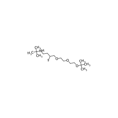 CC(C)(C)NCCC(F)COCCOCCOC(C)(C)C